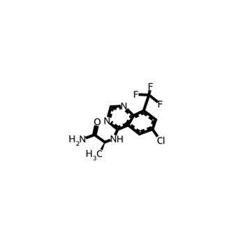 C[C@H](Nc1ncnc2c(C(F)(F)F)cc(Cl)cc12)C(N)=O